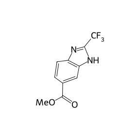 COC(=O)c1ccc2nc(C(F)(F)F)[nH]c2c1